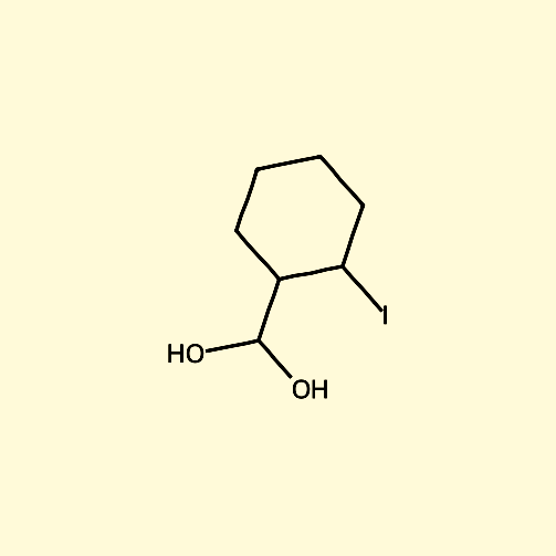 OC(O)C1CCCCC1I